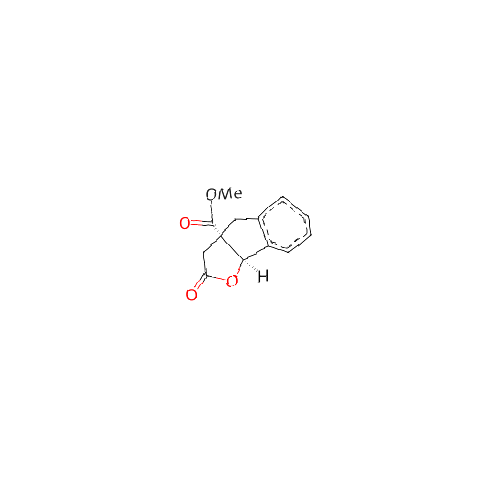 COC(=O)[C@@]12CC(=O)O[C@@H]1c1ccccc1C2